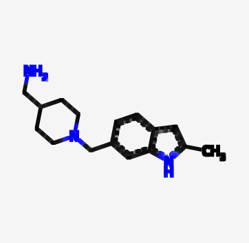 Cc1cc2ccc(CN3CCC(CN)CC3)cc2[nH]1